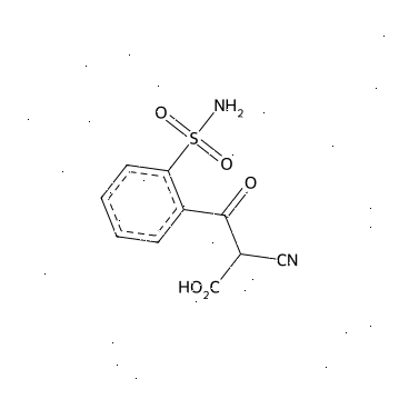 N#CC(C(=O)O)C(=O)c1ccccc1S(N)(=O)=O